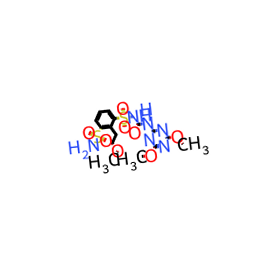 COCCc1c(S(N)(=O)=O)cccc1S(=O)(=O)NC(=O)Nc1nc(OC)nc(OC)n1